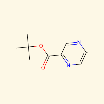 CC(C)(C)OC(=O)c1cn[c]cn1